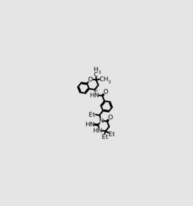 CCC(c1cccc(C(=O)N[C@H]2CC(C)(C)Oc3ccccc32)c1)N1C(=N)NC(CC)(CC)CC1=O